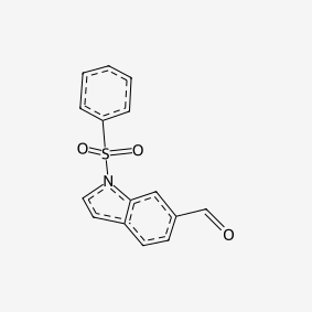 O=Cc1ccc2ccn(S(=O)(=O)c3ccccc3)c2c1